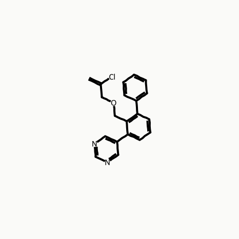 C=C(Cl)COCc1c(-c2ccccc2)cccc1-c1cncnc1